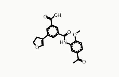 COc1ccc(C(C)=O)cc1NC(=O)c1cc(C(=O)O)cc(C2=COCC2)c1